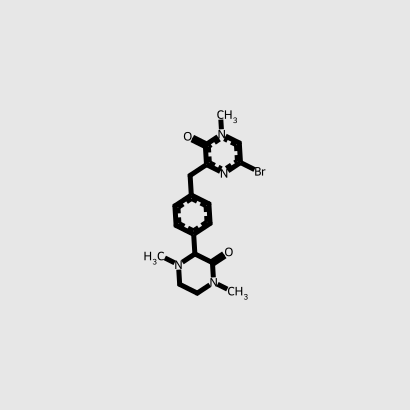 CN1CCN(C)C(c2ccc(Cc3nc(Br)cn(C)c3=O)cc2)C1=O